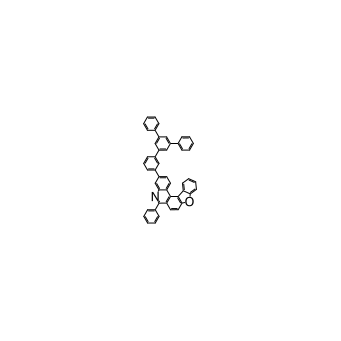 c1ccc(-c2cc(-c3ccccc3)cc(-c3cccc(-c4ccc5c(c4)nc(-c4ccccc4)c4ccc6oc7ccccc7c6c45)c3)c2)cc1